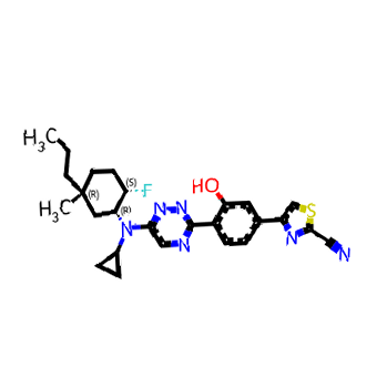 CCC[C@]1(C)CC[C@H](F)[C@H](N(c2cnc(-c3ccc(-c4csc(C#N)n4)cc3O)nn2)C2CC2)C1